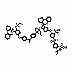 CCCC(C)(Oc1ccc(Oc2ccc(S(=O)(=O)c3ccc(C(C)(C)CC)c(S(=O)(=O)O)c3)cc2S(=O)(=O)O)cc1P1(=O)Oc2ccccc2-c2ccccc21)C(C)(CC)c1ccc(C(=O)c2ccc(Oc3ccc(OC(C)(C)CC)c(P4(=O)Oc5ccccc5-c5ccccc54)c3)cc2)cc1